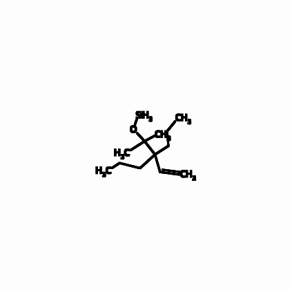 C=CC(CCC)(CCC)C(C)(C)O[SiH3]